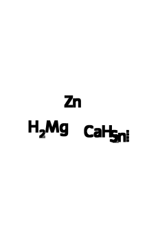 [CaH2].[MgH2].[Sn].[Zn]